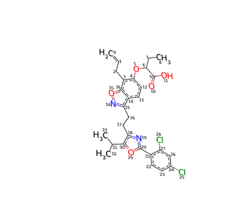 C=CCc1c(OC(CC)C(=O)O)ccc2c(CCc3nc(-c4ccc(Cl)cc4Cl)oc3C(C)C)noc12